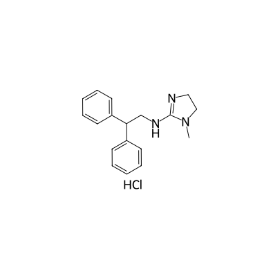 CN1CCN=C1NCC(c1ccccc1)c1ccccc1.Cl